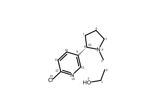 CCO.CN1CCC[C@H]1c1ccc(Cl)nc1